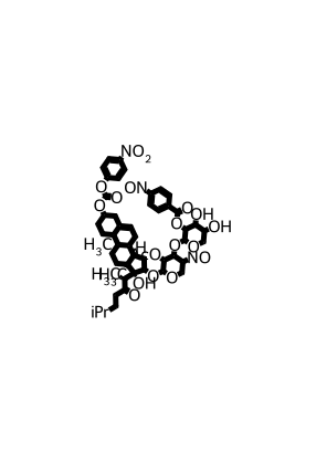 CC(=O)OC1C(OC2C[C@H]3C4CC=C5CC(OC(=O)Oc6ccc([N+](=O)[O-])cc6)CCC5(C)C4CCC3(C)[C@@]2(O)[C@H](C)C(=O)CCC(C)C)OCC(N=O)C1OC1OCC(O)C(O)C1OC(=O)c1ccc(N=O)cc1